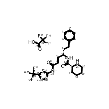 O=C(C=C[C@H](CCc1ccccc1)NC(=O)[C@@H]1CCCCN1)Nc1nnc(C(F)(F)F)s1.O=C(O)C(F)(F)F